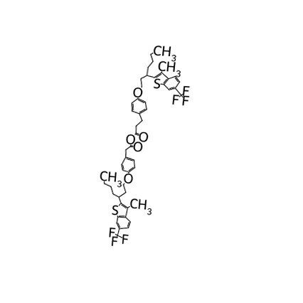 CCCCC(CCOc1ccc(CCC(=O)OC(=O)Cc2ccc(OCCC(CCCC)c3sc4cc(C(F)(F)F)ccc4c3C)cc2)cc1)c1sc2cc(C(F)(F)F)ccc2c1C